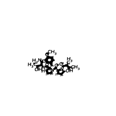 COc1ccc(C[C@@]2(C(=O)N[C@H](C(N)=O)[C@@H](C)O)CCCN2C(=O)[C@@H]2CCCN2C(=O)[C@@H](C)[C@@H](C)O)cc1